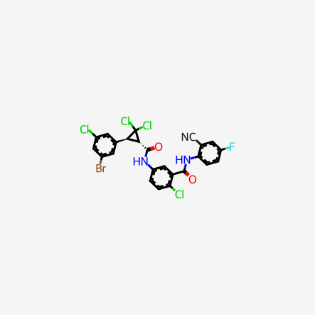 N#Cc1cc(F)ccc1NC(=O)c1cc(NC(=O)[C@@H]2[C@@H](c3cc(Cl)cc(Br)c3)C2(Cl)Cl)ccc1Cl